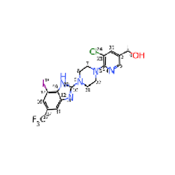 OCc1cnc(N2CCN(c3nc4cc(C(F)(F)F)cc(I)c4[nH]3)CC2)c(Cl)c1